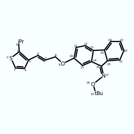 CC(C)c1sccc1/C=C/COc1ccc2c(c1)/C(=N\OC(C)(C)C)c1ccccc1-2